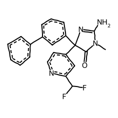 CN1C(=O)C(c2cccc(-c3ccccc3)c2)(c2ccnc(C(F)F)c2)N=C1N